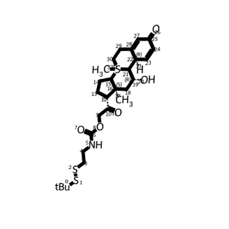 CC(C)(C)SSCCNC(=O)OCC(=O)[C@@H]1CCC2[C@@]1(C)C[C@@H](O)C1[C@@H]3C=CC(=O)C=C3CCS12C